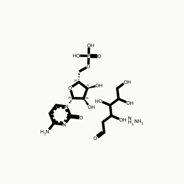 N.N.Nc1ccn([C@@H]2O[C@H](COP(=O)(O)O)[C@@H](O)[C@H]2O)c(=O)n1.O=CCC(O)C(O)C(O)CO